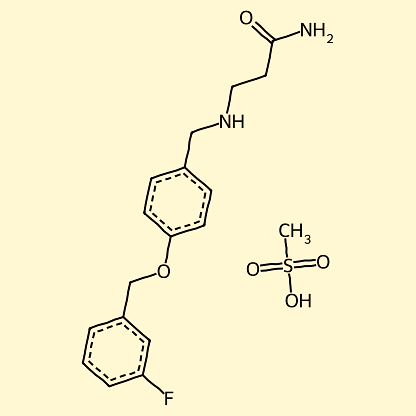 CS(=O)(=O)O.NC(=O)CCNCc1ccc(OCc2cccc(F)c2)cc1